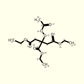 CCOC(=O)CC(CC(=O)OCC)(OOC(C)=O)C(=O)OCC